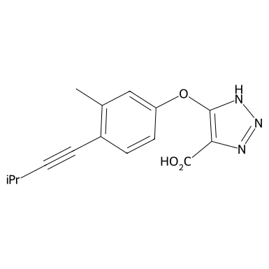 Cc1cc(Oc2[nH]nnc2C(=O)O)ccc1C#CC(C)C